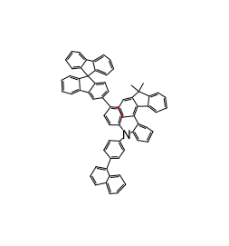 CC1(C)c2ccccc2-c2c(-c3ccccc3N(c3ccc(-c4ccc5c(c4)-c4ccccc4C54c5ccccc5-c5ccccc54)cc3)c3ccc(-c4cccc5ccccc45)cc3)cccc21